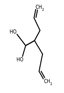 C=CCC(CC=C)C(O)O